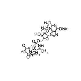 COc1nc(N)nc2c1ncn2C1OC(COP(=O)(N[C@H](C)C(=O)OC(C)C)SC[C@H]2C(=O)NC(=O)N2C)[C@@H](O)[C@@]1(C)O